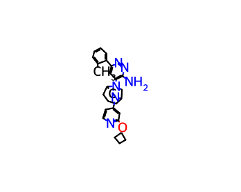 Cc1ccccc1-c1cc(N2CC3CCCC2CN3c2ccnc(OC3CCC3)c2)c(N)nn1